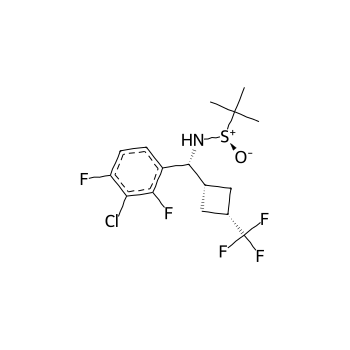 CC(C)(C)[S@@+]([O-])N[C@@H](c1ccc(F)c(Cl)c1F)[C@H]1C[C@@H](C(F)(F)F)C1